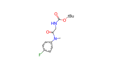 CN(C(=O)CNC(=O)OC(C)(C)C)c1ccc(F)cc1